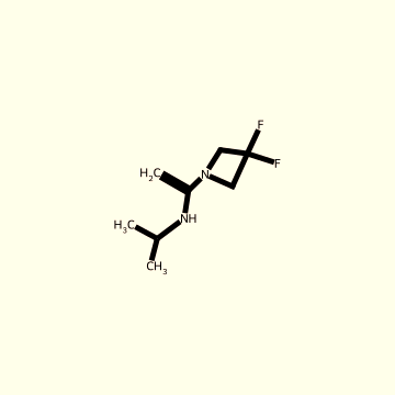 C=C(NC(C)C)N1CC(F)(F)C1